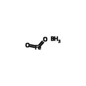 B.[O]=[Fe]=[O]